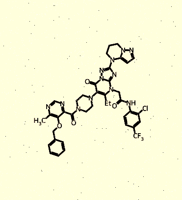 CCc1c(N2CCN(C(=O)c3ncnc(C)c3OCc3ccccc3)CC2)c(=O)n2nc(N3CCCn4nccc43)nc2n1CC(=O)Nc1ccc(C(F)(F)F)cc1Cl